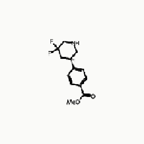 COC(=O)c1ccc([C@@H]2CNCC(F)(F)C2)cc1